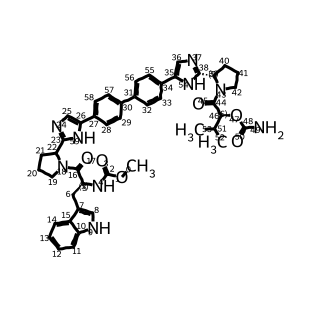 COC(=O)N[C@@H](Cc1c[nH]c2ccccc12)C(=O)N1CCCC1c1ncc(-c2ccc(-c3ccc(-c4cnc([C@@H]5CCCN5C(=O)[C@@H](OC(N)=O)C(C)C)[nH]4)cc3)cc2)[nH]1